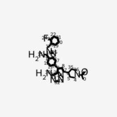 CC(=O)N1CCC(c2cc(-c3ccc4c(N)n(Cc5ccccc5F)nc4c3)c3c(N)ncnn23)CC1